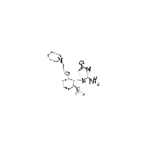 COc1cccc(OCCN2CCCCC2)c1-c1cc(Cl)nc(N)n1